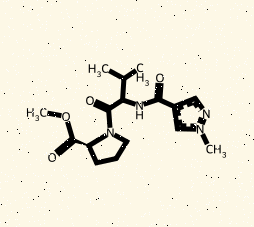 COC(=O)[C@@H]1CCCN1C(=O)C(NC(=O)c1cnn(C)c1)C(C)C